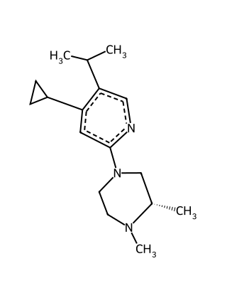 CC(C)c1cnc(N2CCN(C)[C@@H](C)C2)cc1C1CC1